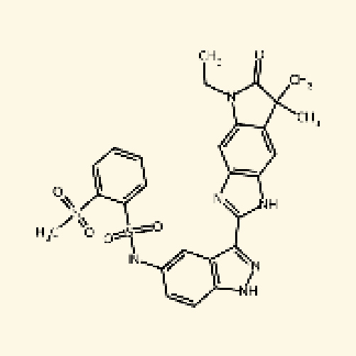 CCN1C(=O)C(C)(C)c2cc3[nH]c(-c4n[nH]c5ccc(NS(=O)(=O)c6ccccc6S(C)(=O)=O)cc45)nc3cc21